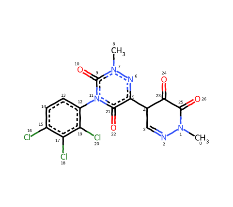 CN1N=CC(c2nn(C)c(=O)n(-c3ccc(Cl)c(Cl)c3Cl)c2=O)C(=O)C1=O